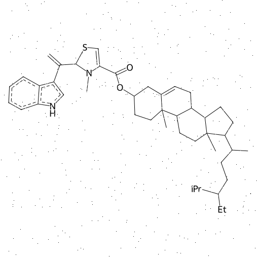 C=C(c1c[nH]c2ccccc12)C1SC=C(C(=O)OC2CCC3(C)C(=CCC4C3CCC3(C)C(C(C)CCC(CC)C(C)C)CCC43)C2)N1C